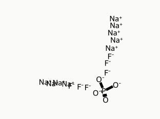 O=P([O-])([O-])[O-].[F-].[F-].[F-].[F-].[F-].[F-].[Na+].[Na+].[Na+].[Na+].[Na+].[Na+].[Na+].[Na+].[Na+]